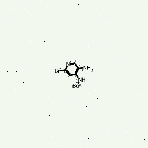 CC[C@H](C)Nc1cc(Br)ncc1N